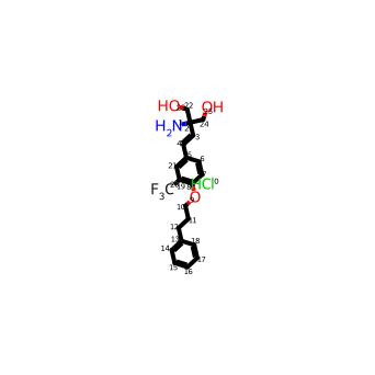 Cl.NC(C=Cc1ccc(OCCCc2ccccc2)c(C(F)(F)F)c1)(CO)CO